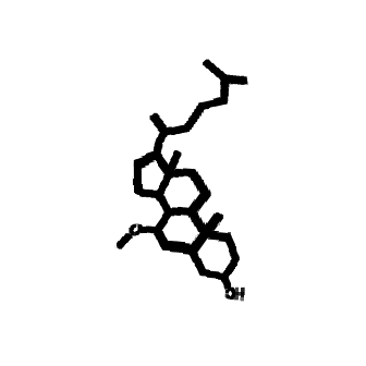 COC1C=C2CC(O)CCC2(C)C2CCC3(C)C(C(C)CCCC(C)C)CCC3C12